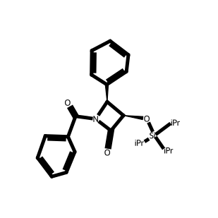 CC(C)[Si](O[C@H]1C(=O)N(C(=O)c2ccccc2)[C@H]1c1ccccc1)(C(C)C)C(C)C